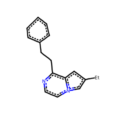 CCc1cc2c(CCc3ccccc3)nccn2c1